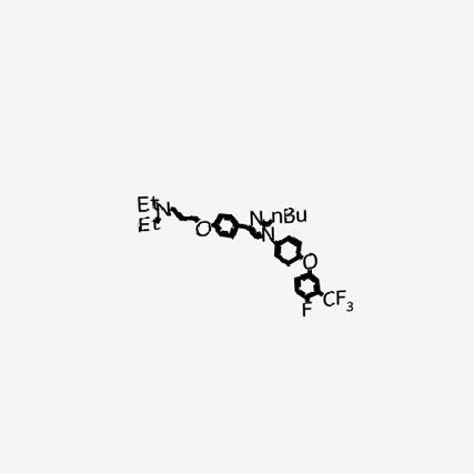 CCCCc1nc(-c2ccc(OCCCN(CC)CC)cc2)cn1C1=CCC(Oc2ccc(F)c(C(F)(F)F)c2)C=C1